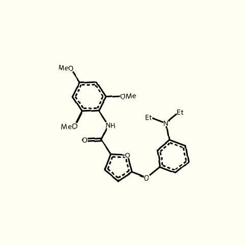 CCN(CC)c1cccc(Oc2ccc(C(=O)Nc3c(OC)cc(OC)cc3OC)o2)c1